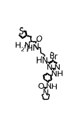 N[C@@H](Cc1ccsc1)C(=O)NCCCNc1nc(Nc2cccc(NC(=O)N3CCCC3)c2)ncc1Br